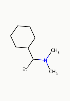 CCC(C1CCCCC1)N(C)C